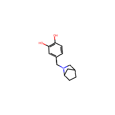 Oc1ccc(CN2CC3CCC2C3)cc1O